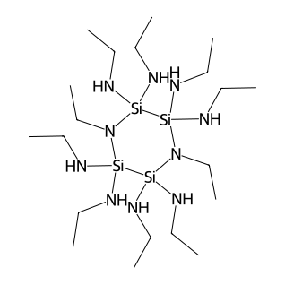 CCN[Si]1(NCC)N(CC)[Si](NCC)(NCC)[Si](NCC)(NCC)N(CC)[Si]1(NCC)NCC